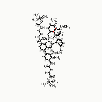 COc1ccc(CN(Cc2ccc(OC)cc2)S(=O)(=O)c2c(S(=O)(=O)NCCNC(=O)OC(C)(C)C)ccc(-c3ccc(NC(=O)CNC(=O)OC(C)(C)C)c(N)c3)c2C2=N/c3cc(ccc3OC)CN/N=N\2)cc1